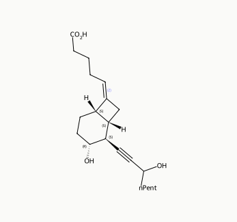 CCCCCC(O)C#C[C@@H]1[C@H]2C/C(=C/CCCC(=O)O)[C@H]2CC[C@H]1O